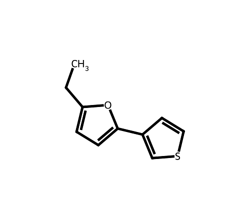 CCc1ccc(-c2ccsc2)o1